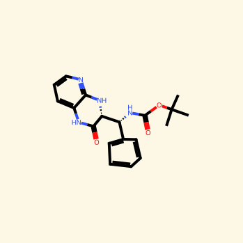 CC(C)(C)OC(=O)N[C@H](c1ccccc1)[C@H]1Nc2ncccc2NC1=O